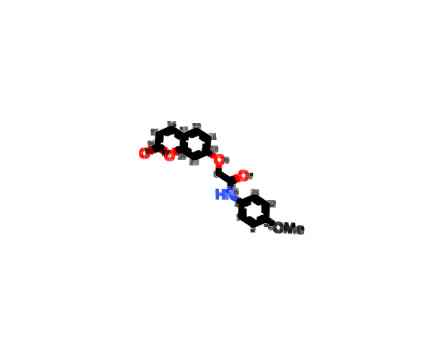 COc1ccc(NC(=O)COc2ccc3ccc(=O)oc3c2)cc1